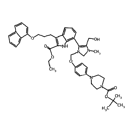 CCOC(=O)c1[nH]c2c(C3=C(CO)N(C)CN3COc3ccc(N4CCN(C(=O)OC(C)(C)C)CC4)cc3)cccc2c1CCCOc1cccc2ccccc12